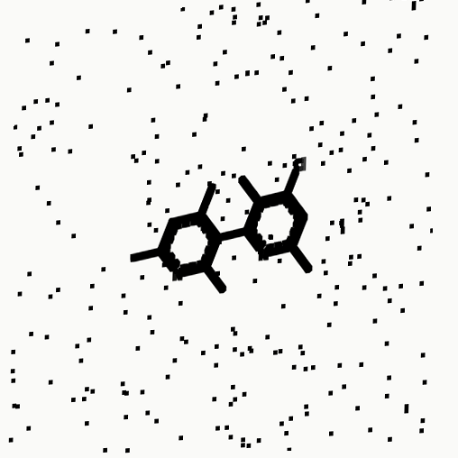 Cc1cc(C)c(-c2nc(C)cc(Cl)c2C)c(C)n1